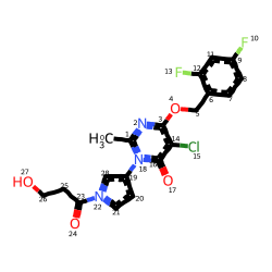 Cc1nc(OCc2ccc(F)cc2F)c(Cl)c(=O)n1-c1ccn(C(=O)CCO)c1